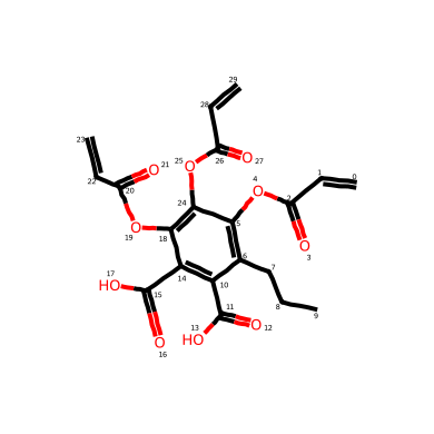 C=CC(=O)Oc1c(CCC)c(C(=O)O)c(C(=O)O)c(OC(=O)C=C)c1OC(=O)C=C